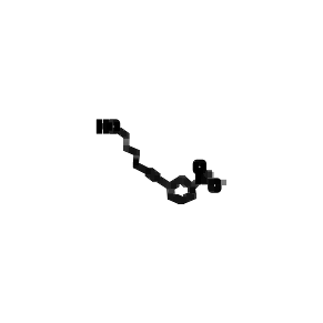 O=[N+]([O-])c1cccc(C#CCCCCO)c1